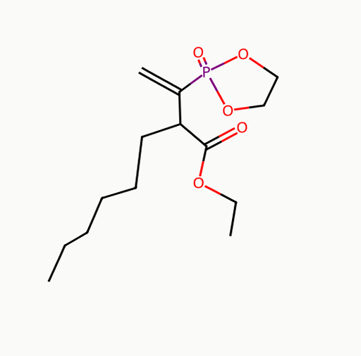 C=C(C(CCCCCC)C(=O)OCC)P1(=O)OCCO1